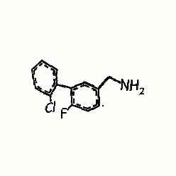 NCc1[c]cc(F)c(-c2ccccc2Cl)c1